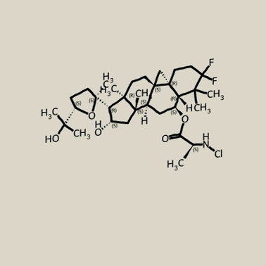 C[C@H](NCl)C(=O)O[C@H]1C[C@@H]2[C@]3(CC[C@]4(C)[C@@H]([C@]5(C)CC[C@@H](C(C)(C)O)O5)[C@@H](O)C[C@@]24C)C[C@@]32CCC(F)(F)C(C)(C)[C@H]12